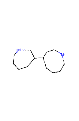 C1CCC(C2CCCCNC2)CCNC1